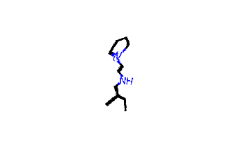 CCC(C)CNCCN1CCCC1